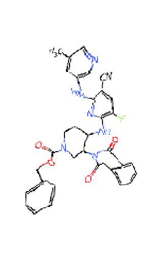 Cc1cncc(Nc2nc(NC3CCN(C(=O)OCc4ccccc4)CC3N3C(=O)c4ccccc4C3=O)c(F)cc2C#N)c1